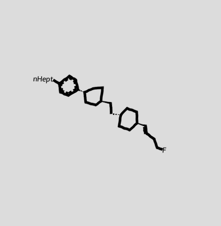 CCCCCCCc1ccc([C@H]2CC[C@H](CC[C@H]3CC[C@H](C=CCCF)CC3)CC2)cc1